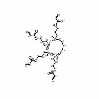 C=CC(=O)OCCC[Si]1(C)CCCCO[Si](C)(CCCOC(=O)C=C)O[Si](C)(CCCOC(=O)C=C)O[Si](C)(CCCOC(=O)C=C)O1